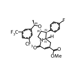 COC(=O)C1=CC(=O)N2C[C@H](O[C@H](C)c3cc(C(F)(F)F)cc(C(F)(F)F)c3)[C@@H](c3ccc(F)cc3)[C@@H]2C1